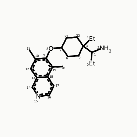 CCC(N)C1(CC)CCC(Oc2c(C)cc3cnccc3c2C)CC1